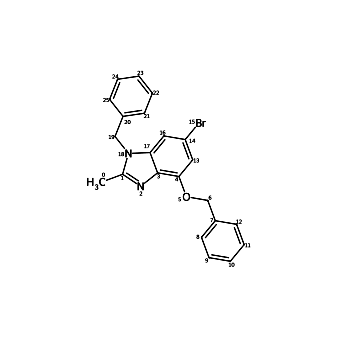 Cc1nc2c(OCc3ccccc3)cc(Br)cc2n1Cc1ccccc1